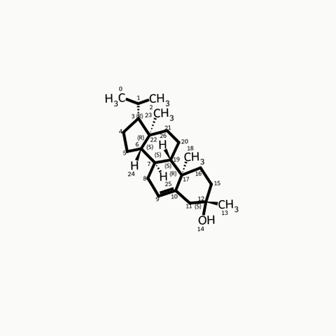 CC(C)[C@H]1CC[C@H]2[C@@H]3CC=C4C[C@@](C)(O)CC[C@]4(C)[C@H]3CC[C@]12C